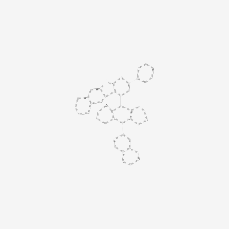 c1ccc(-c2cc(-c3c4ccccc4c(-c4ccc5ccccc5c4)c4ccccc34)c3c(c2)oc2cc4ccccc4cc23)cc1